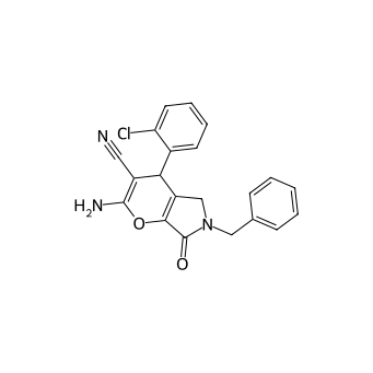 N#CC1=C(N)OC2=C(CN(Cc3ccccc3)C2=O)C1c1ccccc1Cl